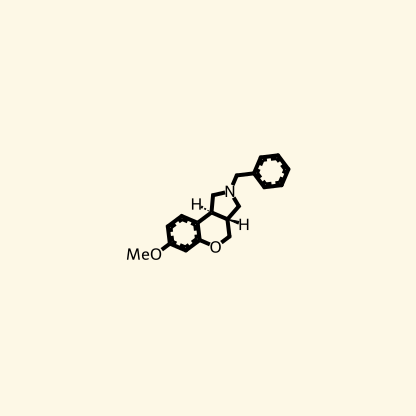 COc1ccc2c(c1)OC[C@H]1CN(Cc3ccccc3)C[C@H]21